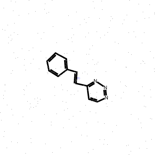 C(=C\c1ccnnn1)/c1ccccc1